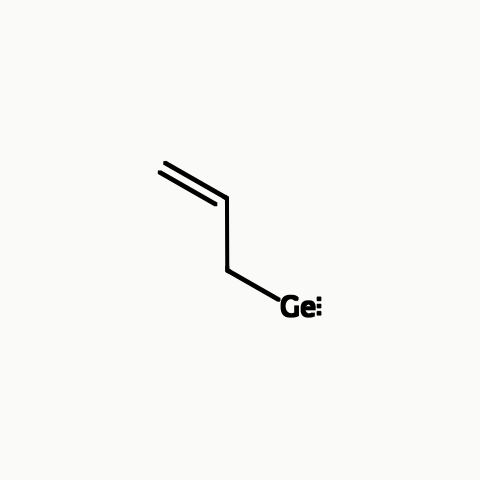 C=C[CH2][Ge]